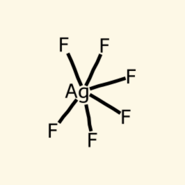 [F][Ag]([F])([F])([F])([F])[F]